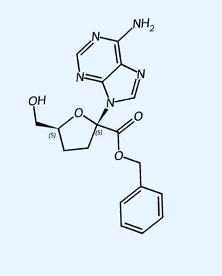 Nc1ncnc2c1ncn2[C@@]1(C(=O)OCc2ccccc2)CC[C@@H](CO)O1